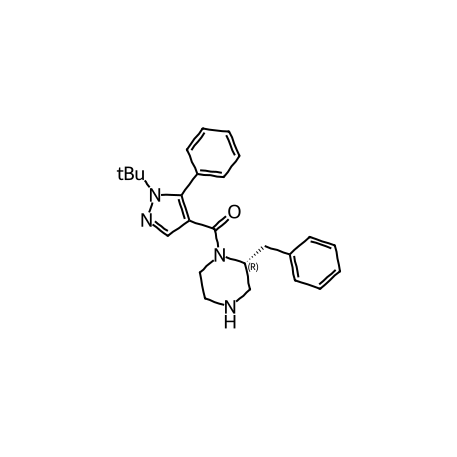 CC(C)(C)n1ncc(C(=O)N2CCNC[C@H]2Cc2ccccc2)c1-c1ccccc1